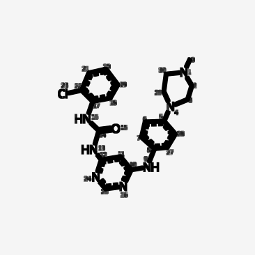 CN1CCN(c2ccc(Nc3cc(NC(=O)Nc4ccccc4Cl)ncn3)cc2)CC1